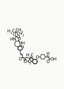 Cc1c(CN(C)C(=O)/C=C/c2cnc3c(c2)CCC(NC(=O)OC(C)(C)C)C(=O)N3)oc2cccc(OC3CCC(NC(=O)O)CC3)c12